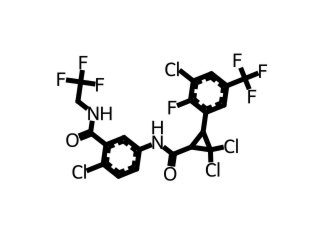 O=C(NCC(F)(F)F)c1cc(NC(=O)C2C(c3cc(C(F)(F)F)cc(Cl)c3F)C2(Cl)Cl)ccc1Cl